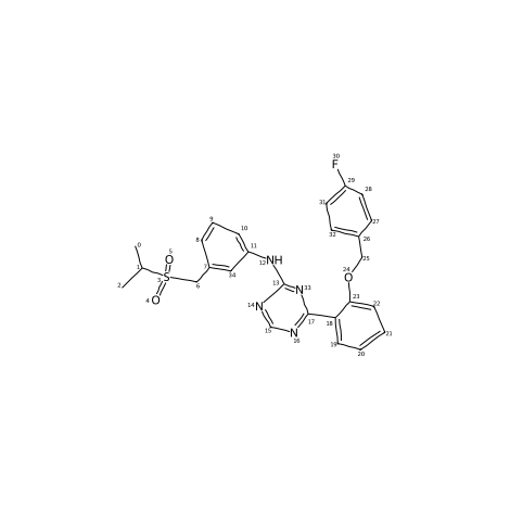 CC(C)S(=O)(=O)Cc1cccc(Nc2ncnc(-c3ccccc3OCc3ccc(F)cc3)n2)c1